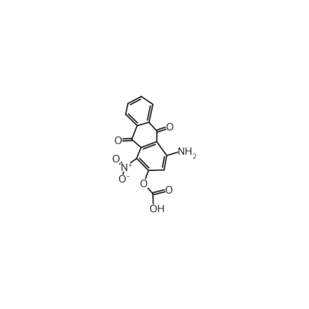 Nc1cc(OC(=O)O)c([N+](=O)[O-])c2c1C(=O)c1ccccc1C2=O